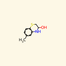 Cc1ccc2c(c1)NC(O)CS2